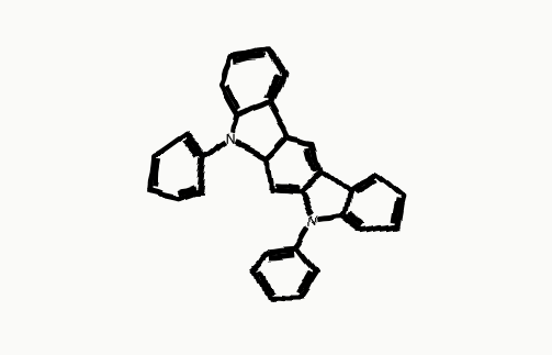 C1=c2c(n(-c3ccccc3)c3ccccc23)=CC2C1c1ccccc1N2c1ccccc1